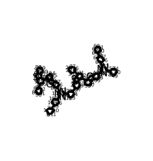 c1ccc(-c2ccc(-c3nc(-c4cccc(-c5ccc6c(c5)sc5c(-c7ccccc7)ccc(-c7cccc8c7oc7cc(-c9nc(-c%10ccccc%10)nc(-c%10ccc(-c%11ccccc%11)cc%10)n9)ccc78)c56)c4)nc(-c4ccc5c(c4)oc4c(-c6cc(-c7ccccc7)cc7sc8ccccc8c67)cccc45)n3)cc2)cc1